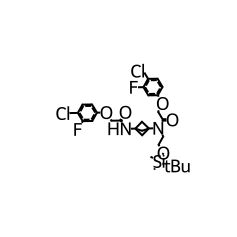 CC(C)(C)[Si](C)(C)OCCN(C(=O)COc1ccc(Cl)c(F)c1)C12CC(NC(=O)COc3ccc(Cl)c(F)c3)(C1)C2